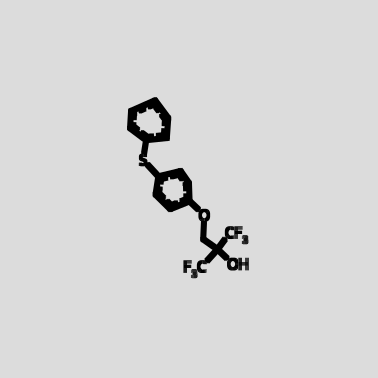 OC(COc1ccc(Sc2ccccc2)cc1)(C(F)(F)F)C(F)(F)F